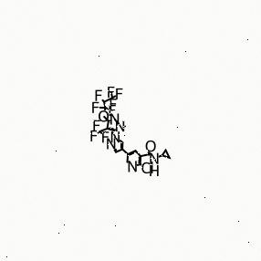 Cn1nc(OC(F)(F)C(F)C(F)(F)F)c(C(F)(F)F)c1-n1cc(-c2cnc(Cl)c(C(=O)NC3CC3)c2)cn1